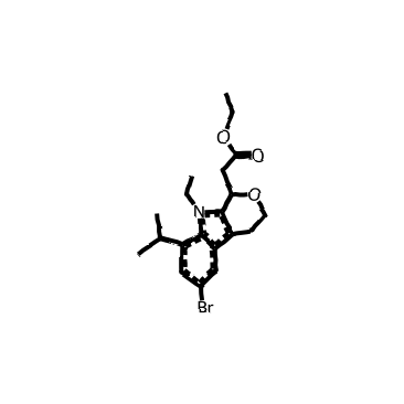 CCOC(=O)CC1OCCc2c1n(CC)c1c(C(C)C)cc(Br)cc21